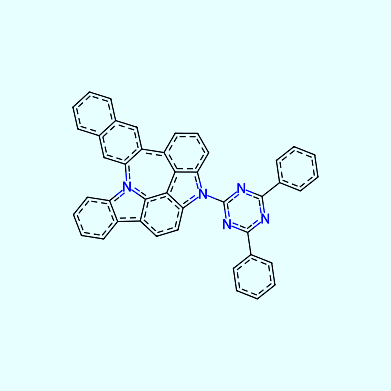 c1ccc(-c2nc(-c3ccccc3)nc(-n3c4cccc5c6cc7ccccc7cc6n6c7ccccc7c7ccc3c(c54)c76)n2)cc1